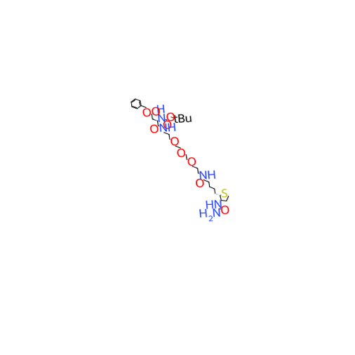 CC(C)(C)OC(=O)N[C@H](CC(=O)OCc1ccccc1)C(=O)NCCCOCCOCCOCCCNC(=O)CCCC[C@@H]1SCC[C@@H]1NC(N)=O